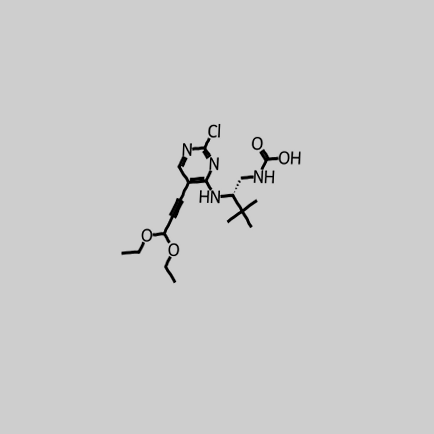 CCOC(C#Cc1cnc(Cl)nc1N[C@H](CNC(=O)O)C(C)(C)C)OCC